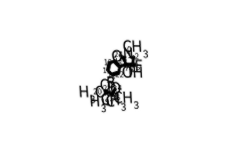 CN1CC(F)(F)C(O)(c2cccc(B3OC(C)(C)C(C)(C)O3)c2)C1=O